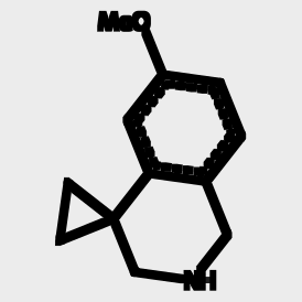 COc1ccc2c(c1)C1(CC1)CNC2